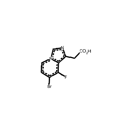 O=C(O)Cc1ncn2ccc(Br)c(F)c12